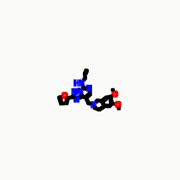 C=CCNc1ncc(CN2CCc3cc(OC)c(OC)cc3C2)c2nc(-c3ccco3)nn12